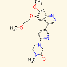 COCCOc1cc2c(-c3ccc(N4CCN(C)C(=O)C4)nc3)cnnc2cc1OC